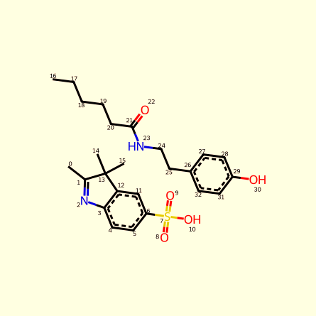 CC1=Nc2ccc(S(=O)(=O)O)cc2C1(C)C.CCCCCC(=O)NCCc1ccc(O)cc1